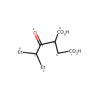 CCC(CC)C(=O)C(CC(=O)O)C(=O)O